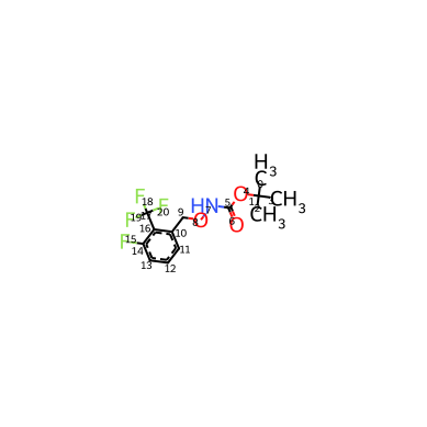 CC(C)(C)OC(=O)NOCc1cccc(F)c1C(F)(F)F